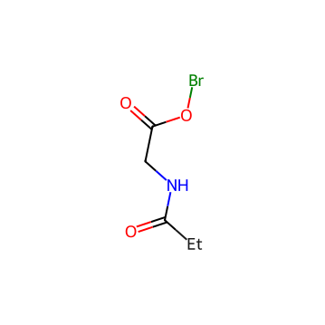 CCC(=O)NCC(=O)OBr